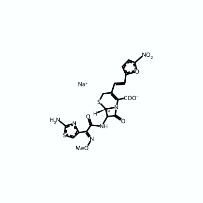 CON=C(C(=O)NC1C(=O)N2C(C(=O)[O-])=C(C=Cc3ccc([N+](=O)[O-])o3)CS[C@@H]12)c1csc(N)n1.[Na+]